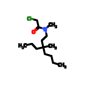 CCCCC(C)(CCC)CCN(C)C(=O)CCl